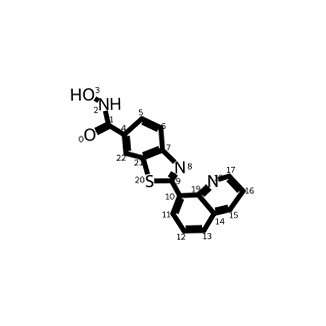 O=C(NO)c1ccc2nc(-c3cccc4cccnc34)sc2c1